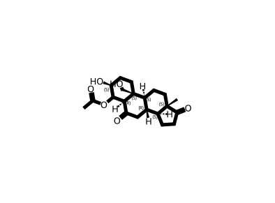 CC(=O)OC1[C@@H](O)CC[C@@]2(CO)[C@H]1C(=O)C[C@@H]1[C@@H]2CC[C@]2(C)C(=O)CC[C@@H]12